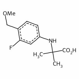 COCc1ccc(NC(C)(C)C(=O)O)cc1F